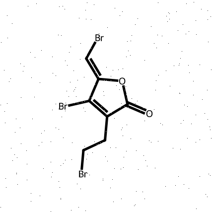 O=C1OC(=CBr)C(Br)=C1CCBr